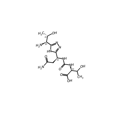 CC(O)[C@H](NC(=O)N[C@@H](CC(N)=O)c1nnc([C@@H](N)[C@H](C)O)[nH]1)C(=O)O